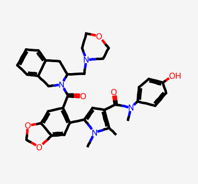 Cc1c(C(=O)N(C)c2ccc(O)cc2)cc(-c2cc3c(cc2C(=O)N2Cc4ccccc4CC2CN2CCOCC2)OCO3)n1C